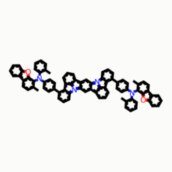 Cc1ccccc1N(c1ccc(-c2cccc3c2c2cccc4c5cc6c(cc5n3c42)c2cccc3c4c(-c5ccc(N(c7ccccc7C)c7c(C)ccc8c7oc7ccccc78)cc5)cccc4n6c23)cc1)c1c(C)ccc2c1oc1ccccc12